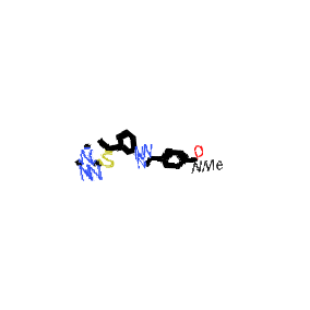 CNC(=O)c1ccc(-c2cnn(-c3cccc(C(C)Sc4nncn4C)c3)n2)cc1